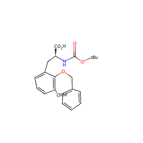 COc1cccc(C[C@H](NC(=O)OC(C)(C)C)C(=O)O)c1OCc1ccccc1